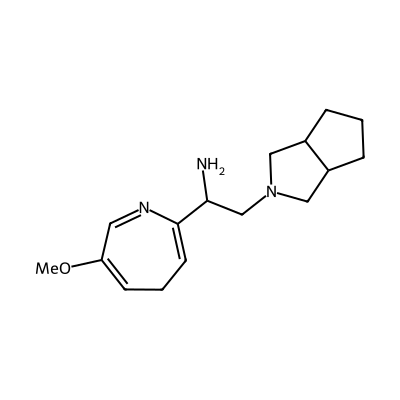 COC1=CCC=C(C(N)CN2CC3CCCC3C2)N=C1